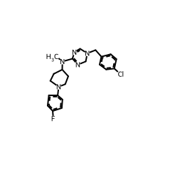 CN(C1=NCN(Cc2ccc(Cl)cc2)C=N1)C1CCN(c2ccc(F)cc2)CC1